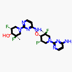 C[C@]1(F)CN(c2nccc(N)n2)C[C@H](F)[C@@H]1ONc1ccnc(N2C[C@@H](F)[C@@H](O)[C@](C)(F)C2)n1